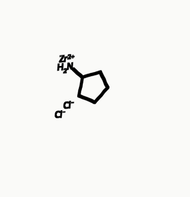 NC1CCCC1.[Cl-].[Cl-].[Zr+2]